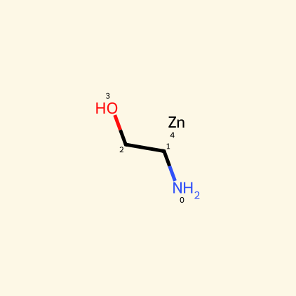 NCCO.[Zn]